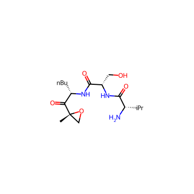 CCCC[C@H](NC(=O)[C@H](CO)NC(=O)[C@@H](N)C(C)C)C(=O)[C@@]1(C)CO1